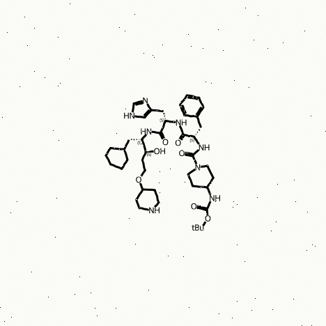 CC(C)(C)OC(=O)NC1CCN(C(=O)N[C@@H](Cc2ccccc2)C(=O)N[C@@H](Cc2c[nH]cn2)C(=O)N[C@@H](CC2CCCCC2)[C@@H](O)CCOC2CCNCC2)CC1